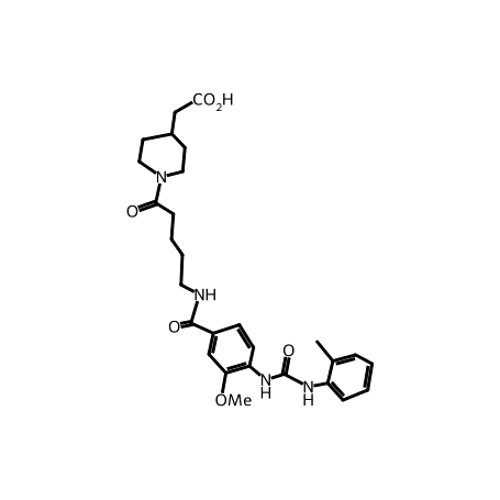 COc1cc(C(=O)NCCCCC(=O)N2CCC(CC(=O)O)CC2)ccc1NC(=O)Nc1ccccc1C